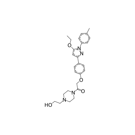 CCOc1cc(-c2ccc(OCC(=O)N3CCN(CCO)CC3)cc2)nn1-c1ccc(C)cc1